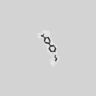 C=CCOc1ccc(-c2ccc(C(=O)O)cc2)cc1